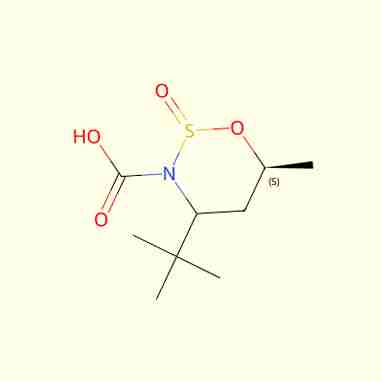 C[C@H]1CC(C(C)(C)C)N(C(=O)O)S(=O)O1